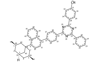 C[C@@H]1C[C@@H]2C[C@H](C)CC(c3ccc(-c4ccc(-c5nc(-c6ccccc6)nc(-c6ccc(C#N)cc6)n5)cc4)c4ccccc34)(C1)C2